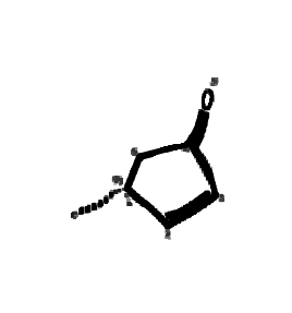 C[C@H]1C=CC(=O)C1